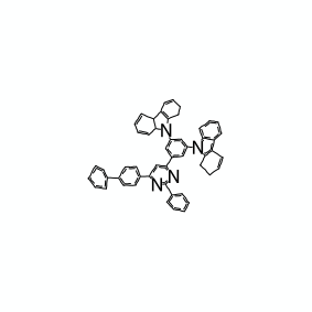 C1=CC2C3=C(CCC=C3)N(c3cc(-c4cc(-c5ccc(-c6ccccc6)cc5)nc(-c5ccccc5)n4)cc(-n4c5c(c6ccccc64)C=CCC5)c3)C2C=C1